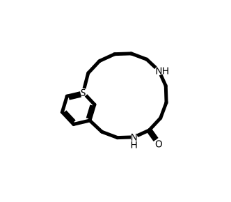 O=C1CCCNCCCCCS2=CC=CC(=C2)CCN1